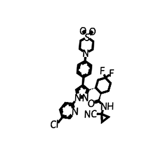 N#CC1(NC(=O)[C@@H]2CCC(F)(F)C[C@H]2c2nn(-c3ccc(Cl)cn3)cc2-c2ccc(N3CCS(=O)(=O)CC3)cc2)CC1